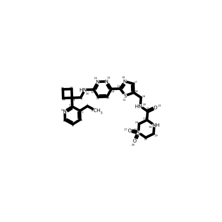 CCc1cccnc1C1(CNc2ccc(-c3ncc(CNC(=O)C4CS(=O)(=O)CCN4)s3)nn2)CCC1